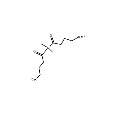 CCCCCCCCCCCCCC(=O)[N+](C)(C)C(=O)CCCCCCCCCCCCC